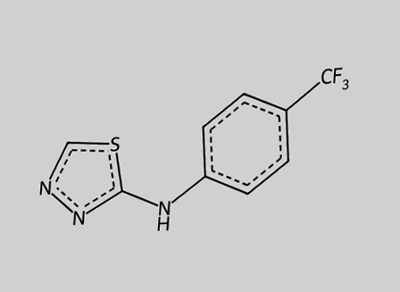 FC(F)(F)c1ccc(Nc2nncs2)cc1